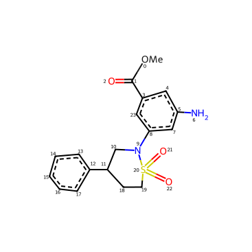 COC(=O)c1cc(N)cc(N2CC(c3ccccc3)CCS2(=O)=O)c1